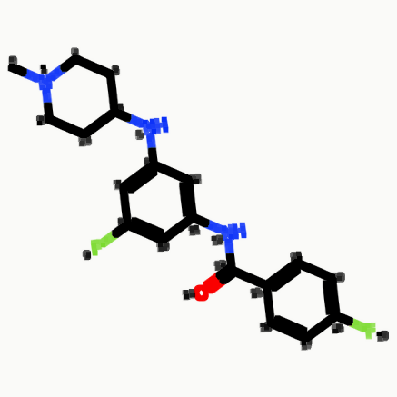 CN1CCC(Nc2cc(F)cc(NC(=O)c3ccc(F)cc3)c2)CC1